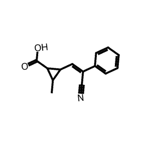 CC1C(/C=C(\C#N)c2ccccc2)C1C(=O)O